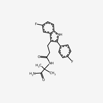 CC(C)(NC(=O)CCc1c(-c2ccc(F)cc2)[nH]c2ccc(F)cc12)C(N)=O